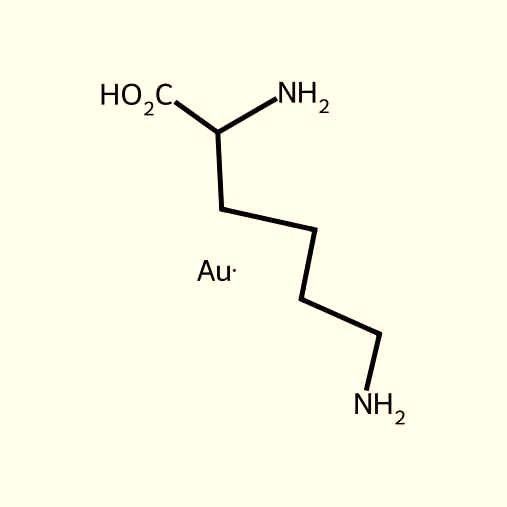 NCCCCC(N)C(=O)O.[Au]